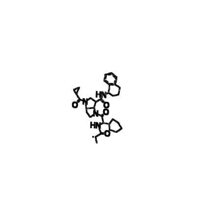 C[CH]C(=O)NC(C(=O)N1CCC2C1C(C(=O)NC1CCCc3ccccc31)CN2C(=O)C1CC1)C1CCCCC1